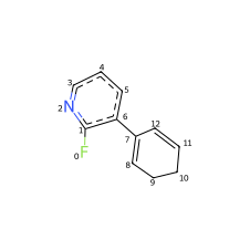 Fc1ncccc1C1=CCCC=C1